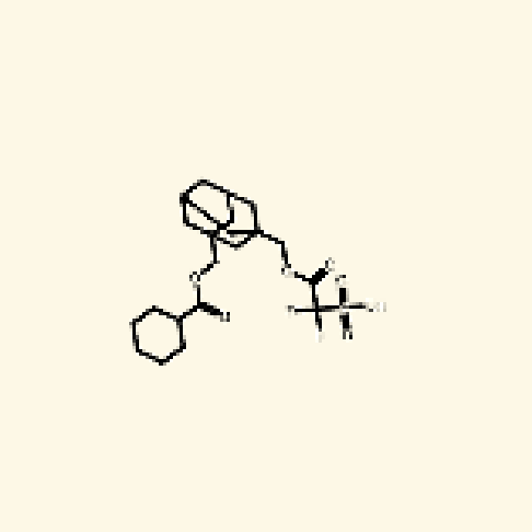 O=C(OCC12CC3CC(C1)CC(COC(=O)C(F)(F)S(=O)(=O)O)(C3)C2)C1CCCCC1